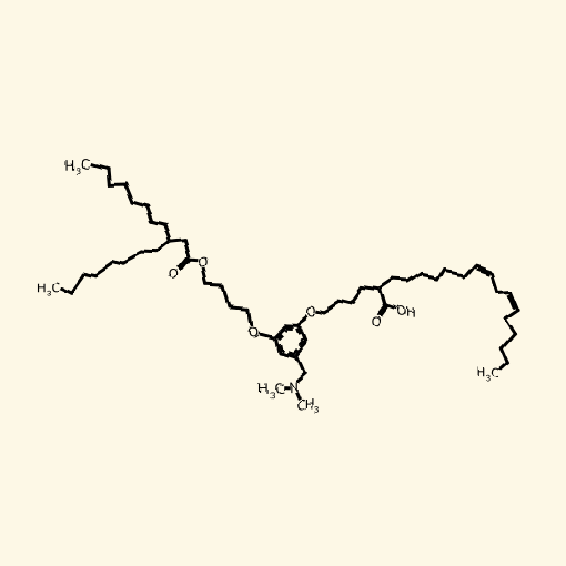 CCCCC/C=C\C/C=C\CCCCCCC(CCCCOc1cc(CN(C)C)cc(OCCCCOC(=O)CC(CCCCCCCC)CCCCCCCC)c1)C(=O)O